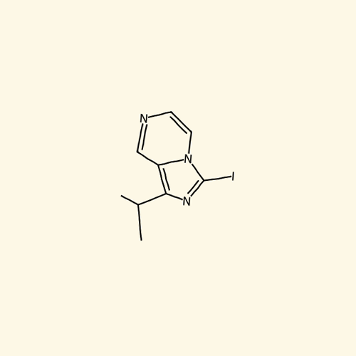 CC(C)c1nc(I)n2ccncc12